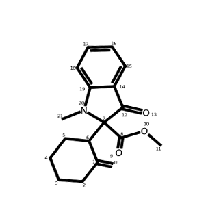 C=C1CCCCC1C1(C(=O)OC)C(=O)c2ccccc2N1C